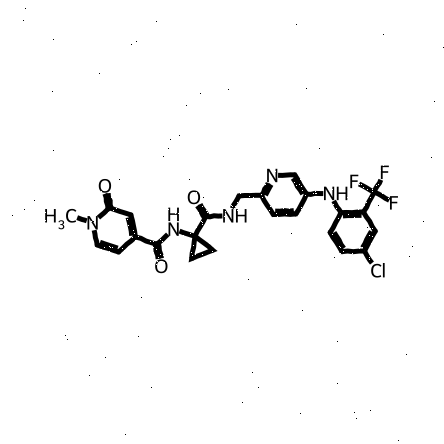 Cn1ccc(C(=O)NC2(C(=O)NCc3ccc(Nc4ccc(Cl)cc4C(F)(F)F)cn3)CC2)cc1=O